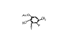 CC(=O)Oc1cc(C)c(F)c(F)c1O